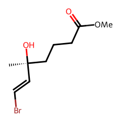 COC(=O)CCC[C@](C)(O)/C=C/Br